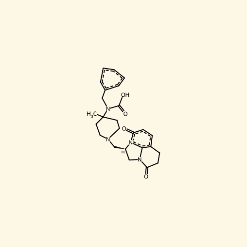 CC1(N(Cc2ccccc2)C(=O)O)CCN(C[C@@H]2CN3C(=O)CCc4ccc(=O)n2c43)CC1